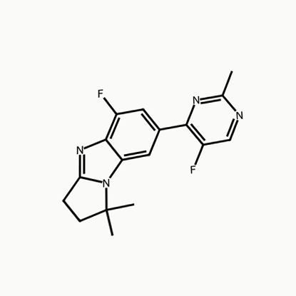 Cc1ncc(F)c(-c2cc(F)c3nc4n(c3c2)C(C)(C)CC4)n1